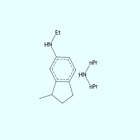 CCCNCCC.CCNc1ccc2c(c1)C(C)CC2